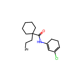 CC(C)CCC1(C(=O)NC2=CC(Cl)=CC[CH]2)CCCCC1